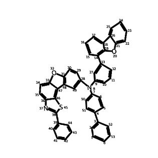 c1ccc(-c2ccc(N(c3cccc(-c4cccc5c4oc4ccccc45)c3)c3ccc4oc5ccc6nc(-c7ccccc7)sc6c5c4c3)cc2)cc1